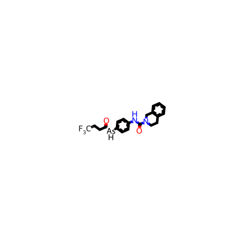 O=C(CCC(F)(F)F)[AsH]c1ccc(NC(=O)N2CCc3ccccc3C2)cc1